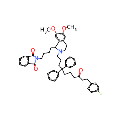 COc1cc2c(cc1OC)C(CCCCN1C(=O)c3ccccc3C1=O)N(CCCC(CCCC(=O)CCc1ccc(F)cc1)(c1ccccc1)c1ccccc1)CC2